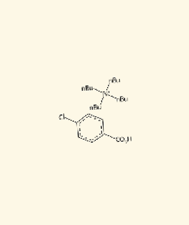 CCCC[N+](CCCC)(CCCC)CCCC.O=C(O)c1ccc(Cl)cc1